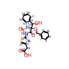 O=[PH2]NC(OCc1ccccc1)(C(=O)Nc1nc(CC(=O)O)cs1)C(O)c1ccccc1